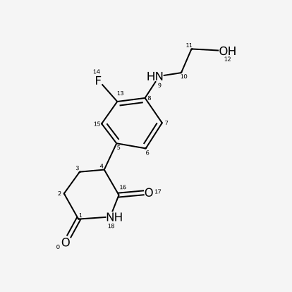 O=C1CCC(c2ccc(NCCO)c(F)c2)C(=O)N1